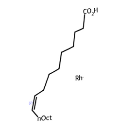 CCCCCCCC/C=C\CCCCCCCC(=O)O.[Rh]